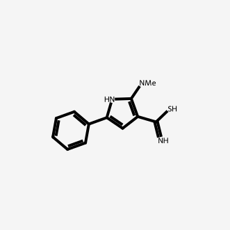 CNc1[nH]c(-c2ccccc2)cc1C(=N)S